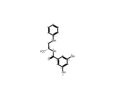 C[C@H](CNc1ccccc1)NC(=O)c1cc(O)cc(O)c1